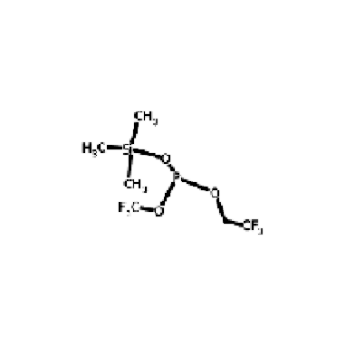 C[Si](C)(C)OP(OCC(F)(F)F)OC(F)(F)F